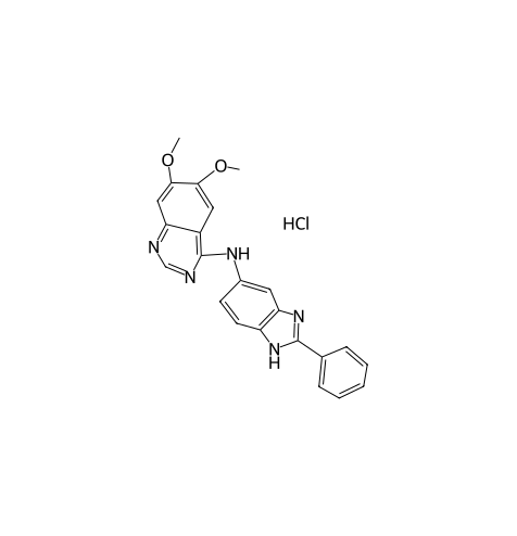 COc1cc2ncnc(Nc3ccc4[nH]c(-c5ccccc5)nc4c3)c2cc1OC.Cl